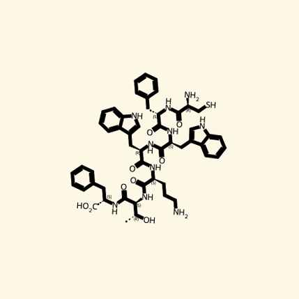 C[C@@H](O)[C@H](NC(=O)[C@H](CCCN)NC(=O)[C@@H](Cc1c[nH]c2ccccc12)NC(=O)[C@H](Cc1c[nH]c2ccccc12)NC(=O)[C@H](Cc1ccccc1)NC(=O)[C@@H](N)CS)C(=O)N[C@@H](Cc1ccccc1)C(=O)O